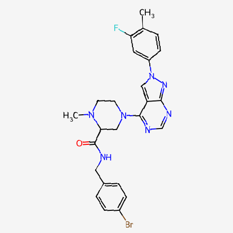 Cc1ccc(-n2cc3c(N4CCN(C)C(C(=O)NCc5ccc(Br)cc5)C4)ncnc3n2)cc1F